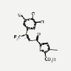 Cc1cc(C(=O)/C=C(\c2cc(Cl)c(Cl)c(Cl)c2)C(F)(F)F)sc1C(=O)O